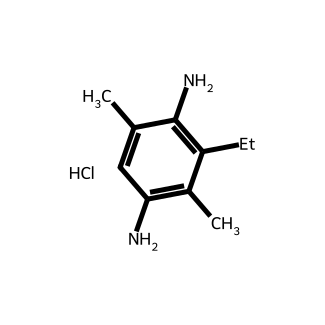 CCc1c(C)c(N)cc(C)c1N.Cl